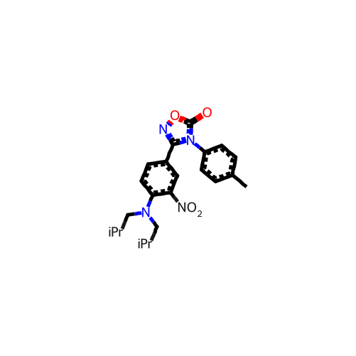 Cc1ccc(-n2c(-c3ccc(N(CC(C)C)CC(C)C)c([N+](=O)[O-])c3)noc2=O)cc1